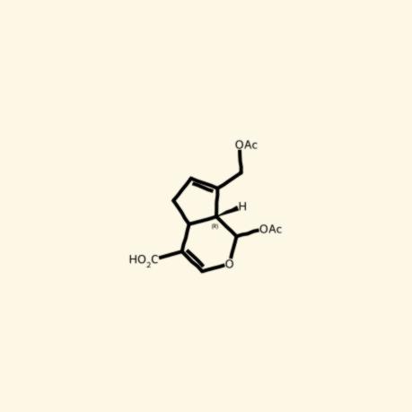 CC(=O)OCC1=CCC2C(C(=O)O)=COC(OC(C)=O)[C@@H]12